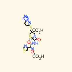 O=C(O)CON=C(C(=O)NC1C(=O)N2CC(CSc3ccc4nnnn4n3)(C(=O)O)CS[C@H]12)c1cscn1